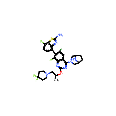 CC(CN1CCC(F)(F)CC1)Oc1nc(N2CC3CCC(C2)N3)c2cc(Cl)c(-c3ccc(F)c4sc(N)nc34)c(F)c2n1